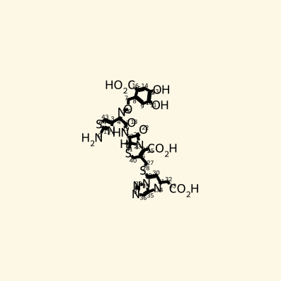 Nc1nc(/C(=N/OCc2cc(O)c(O)cc2C(=O)O)C(=O)N[C@@H]2C(=O)N3C(C(=O)O)=C(CSc4cc(CC(=O)O)nc5cnnn45)CS[C@H]23)cs1